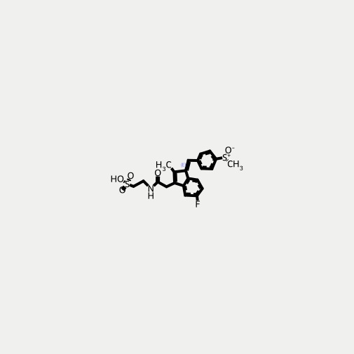 CC1=C(CC(=O)NCCS(=O)(=O)O)c2cc(F)ccc2/C1=C\c1ccc([S+](C)[O-])cc1